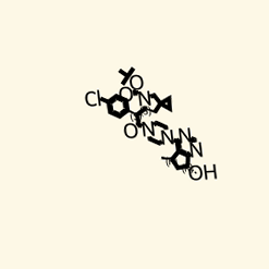 C[C@@H]1C[C@@H](O)c2ncnc(N3CCN(C(=O)[C@@H](c4ccc(Cl)cc4)[C@@H]4CC5(CC5)CN4C(=O)OC(C)(C)C)CC3)c21